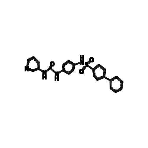 O=C(Nc1ccc(NS(=O)(=O)c2ccc(-c3ccccc3)cc2)cc1)Nc1cccnc1